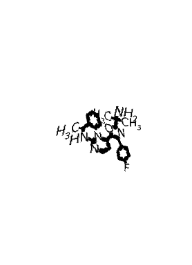 C[C@H](Nc1nccc(-c2oc(C(C)(C)N)nc2-c2ccc(F)cc2)n1)c1ccccc1